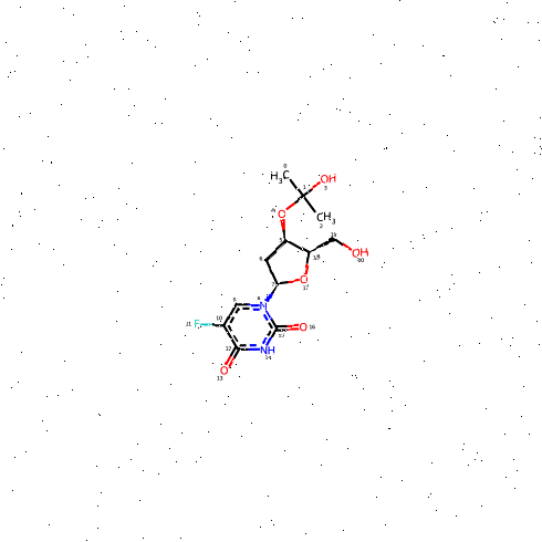 CC(C)(O)O[C@@H]1C[C@H](n2cc(F)c(=O)[nH]c2=O)O[C@@H]1CO